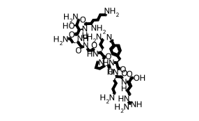 N#Cc1ccc(C[C@H](NC(=O)[C@@H]2CCCN2C(=O)[C@@H](CCCN)NC(=O)CNC(=O)[C@H](CCN)NC(=O)[C@H](NC(=O)[C@@H](N)CCCCN)[C@@H](O)CN)C(=O)N[C@@H](CCCCN)C(=O)N/C(=C\CCNC(=N)N)C(=O)O)cc1